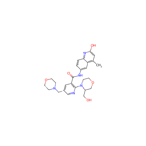 Cc1cc(O)nc2ccc(NC(=O)c3cc(CN4CCOCC4)cnc3N3CCOCC3CO)cc12